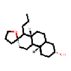 CCCC1[C@@H]2CCC3C[C@H](O)CC[C@@H]3C2CC[C@@]12CCCO2